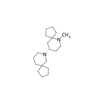 CN1CC[C@H](N2CCCC3(CCCC3)C2)CC12CCCC2